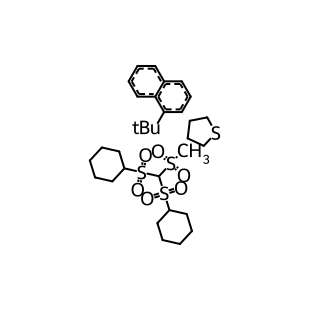 C1CCSC1.CC(C)(C)c1cccc2ccccc12.CS(=O)(=O)C(S(=O)(=O)C1CCCCC1)S(=O)(=O)C1CCCCC1